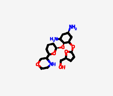 NC1C[C@@H](N)CC(O[C@H]2CCC(CO)O2)[C@@H]1O[C@@H]1CCCC(C2COCCN2)O1